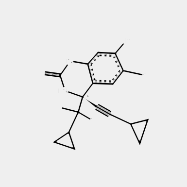 O=C1Nc2cc(Br)c(F)cc2[C@](C#CC2CC2)(C(F)(F)C2CC2)N1